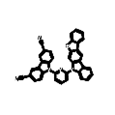 N#Cc1ccc2c(c1)c1cc(C#N)ccc1n2-c1cccc(-n2c3ccccc3c3cc4c(cc32)oc2ccccc24)n1